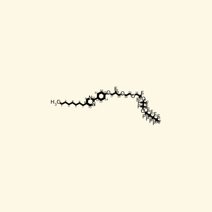 CCCCCCCCc1cnc(-c2ccc(OCC(F)COCCOCC(F)(F)OC(F)(F)C(F)(F)OC(F)(F)C(F)(F)C(F)(F)C(F)(F)F)cc2)nc1